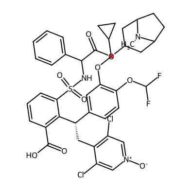 CN1C2CCC1CC(OC(=O)C(NS(=O)(=O)c1cccc(C(=O)O)c1[C@@H](Cc1c(Cl)c[n+]([O-])cc1Cl)c1ccc(OC(F)F)c(OCC3CC3)c1)c1ccccc1)C2